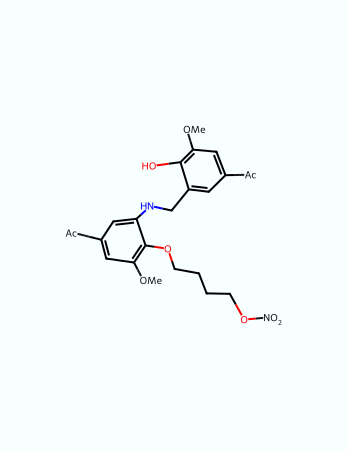 COc1cc(C(C)=O)cc(CNc2cc(C(C)=O)cc(OC)c2OCCCCO[N+](=O)[O-])c1O